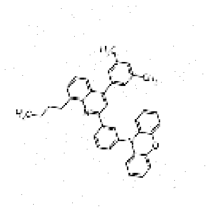 CCCCc1cccc2c(-c3cc(C)cc(C)c3)cc(-c3cccc(N4c5ccccc5Oc5ccccc54)c3)nc12